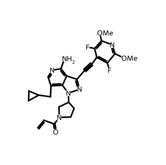 C=CC(=O)N1CCC(n2nc(C#Cc3c(F)c(OC)nc(OC)c3F)c3c(N)ncc(CC4CC4)c32)C1